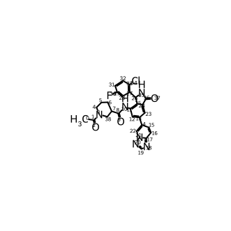 CC(=O)N1CCCC(C(=O)Nc2cc(-c3ccc4ncnn4c3)cc3c2C(c2cc(F)ccc2Cl)NC3=O)C1